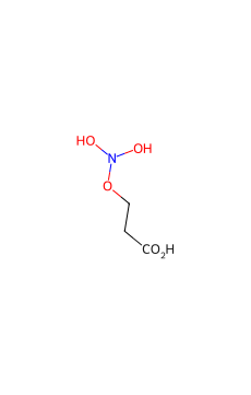 O=C(O)CCON(O)O